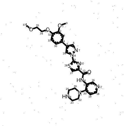 COc1cc(-c2cnn(-c3nc(C(=O)Nc4cnccc4N4CCNCC4)cs3)c2)ccc1OCCOI